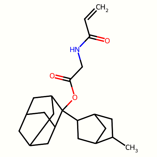 C=CC(=O)NCC(=O)OC1(C2CC3CC2CC3C)C2CC3CC(C2)CC1C3